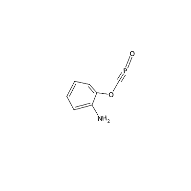 Nc1ccccc1OC#P=O